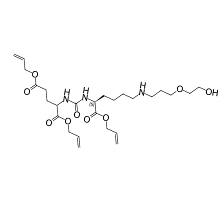 C=CCOC(=O)CCC(NC(=O)N[C@@H](CCCCNCCCOCCO)C(=O)OCC=C)C(=O)OCC=C